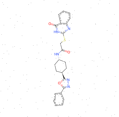 O=C(CSc1nc2ccccc2c(=O)[nH]1)N[C@H]1CC[C@H](c2nnc(-c3ccccc3)o2)CC1